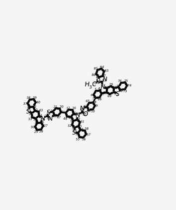 Cn1c(-n2c3ccc(-c4ccc5oc(-n6c7ccc(-c8ccc9sc(-n%10c%11ccccc%11c%11cc%12sc%13ccccc%13c%12cc%11%10)nc9c8)cc7c7cc8sc9ccccc9c8cc76)nc5c4)cc3c3cc4sc5ccccc5c4cc32)nc2ccccc21